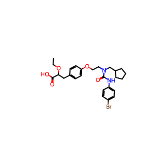 CCOC(Cc1ccc(OCCN(CC2CCCC2)C(=O)Nc2ccc(Br)cc2)cc1)C(=O)O